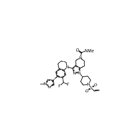 C=CS(=O)(=O)N1CCC(n2nc(N3CCCc4cc(-c5cnn(C)c5)c(C(F)F)cc43)c3c2CCN(C(=O)NC)C3)CC1